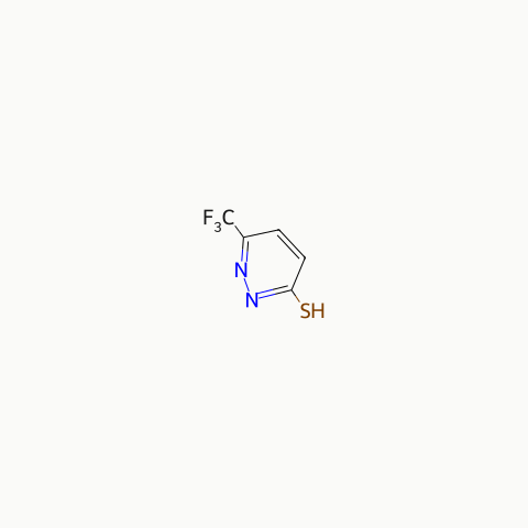 FC(F)(F)c1ccc(S)nn1